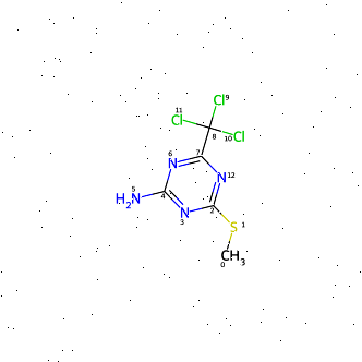 CSc1nc(N)nc(C(Cl)(Cl)Cl)n1